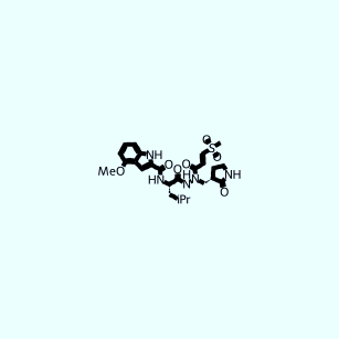 COc1cccc2[nH]c(C(=O)N[C@@H](CC(C)C)C(=O)NN(C[C@@H]3CCNC3=O)C(=O)/C=C/S(C)(=O)=O)cc12